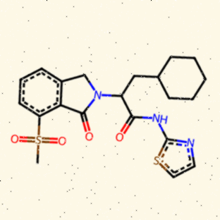 CS(=O)(=O)c1cccc2c1C(=O)N(C(CC1CCCCC1)C(=O)Nc1nccs1)C2